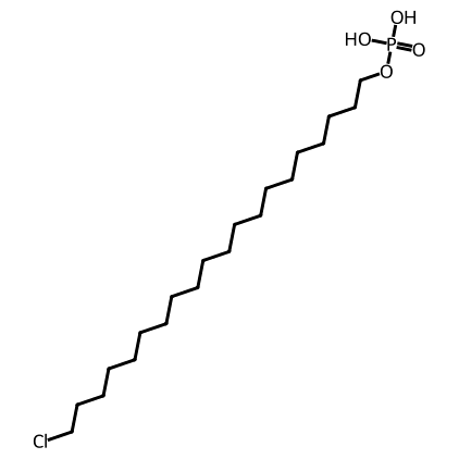 O=P(O)(O)OCCCCCCCCCCCCCCCCCCCCCl